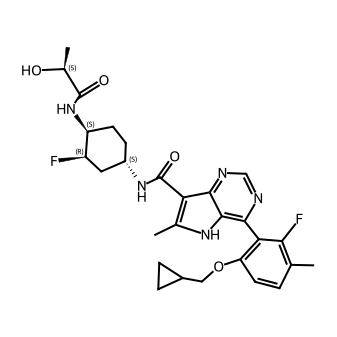 Cc1ccc(OCC2CC2)c(-c2ncnc3c(C(=O)N[C@H]4CC[C@H](NC(=O)[C@H](C)O)[C@H](F)C4)c(C)[nH]c23)c1F